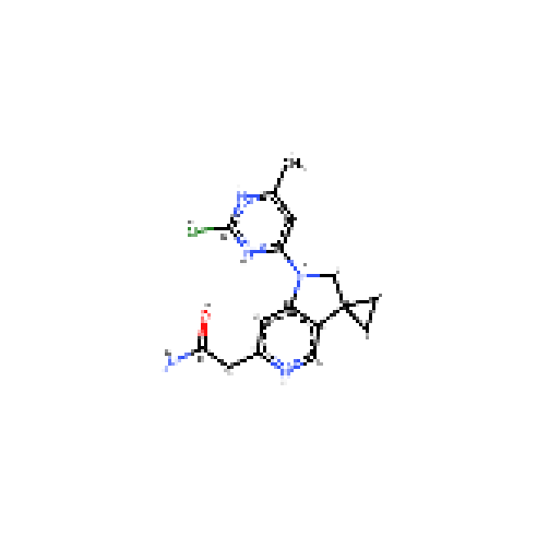 Cc1cc(N2CC3(CC3)c3cnc(CC(N)=O)cc32)nc(Cl)n1